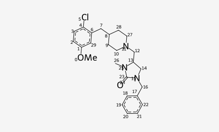 COc1ccc(Cl)c(CC2CCN(CC3CN(Cc4ccccc4)C(=O)N3C)CC2)c1